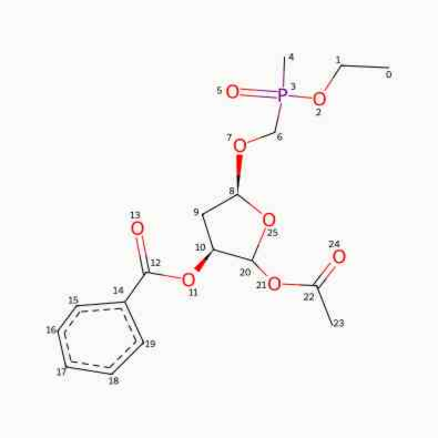 CCOP(C)(=O)CO[C@@H]1C[C@H](OC(=O)c2ccccc2)C(OC(C)=O)O1